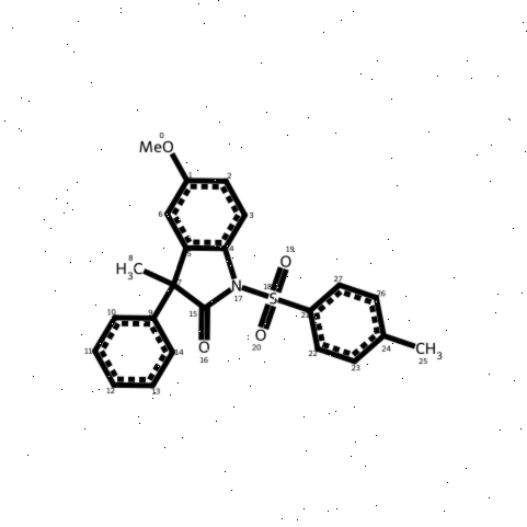 COc1ccc2c(c1)C(C)(c1ccccc1)C(=O)N2S(=O)(=O)c1ccc(C)cc1